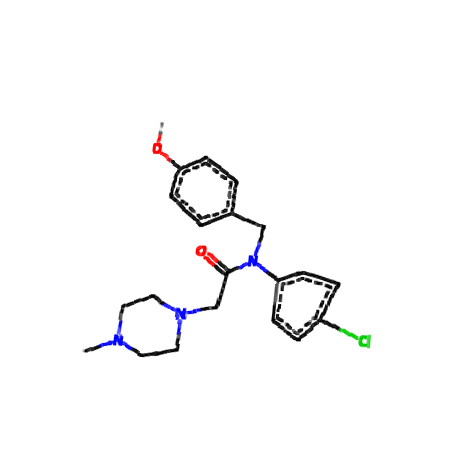 COc1ccc(CN(C(=O)CN2CCN(C)CC2)c2ccc(Cl)cc2)cc1